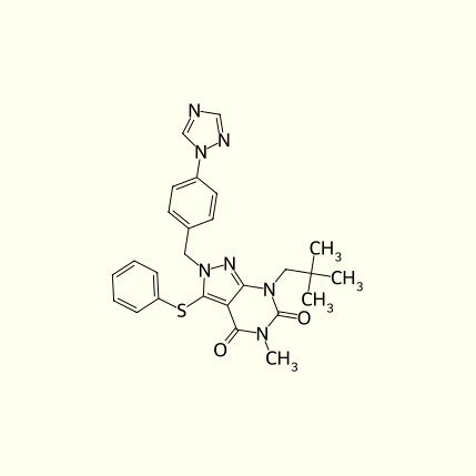 Cn1c(=O)c2c(Sc3ccccc3)n(Cc3ccc(-n4cncn4)cc3)nc2n(CC(C)(C)C)c1=O